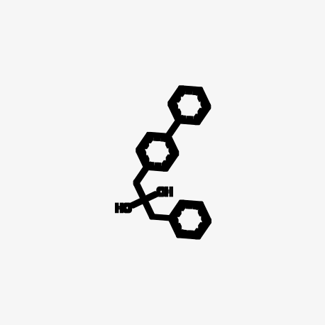 OC(O)(Cc1ccccc1)Cc1ccc(-c2ccccc2)cc1